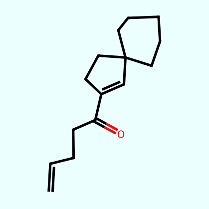 C=CCCC(=O)C1=CC2(CCCCC2)CC1